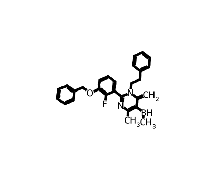 C=C1C(BC)=C(C)N=C(c2cccc(OCc3ccccc3)c2F)N1CCc1ccccc1